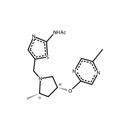 CC(=O)Nc1ncc(CN2C[C@H](Oc3cnc(C)cn3)C[C@@H]2C)s1